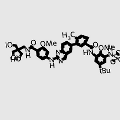 COc1cc(Nc2ncc3cc(-c4cc(C(=O)Nc5cc(C(C)(C)C)cc(NS(C)(=O)=O)c5OC)ccc4C)ccc3n2)ccc1C(=O)NCC(CO)(CO)CO